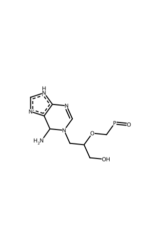 NC1c2nc[nH]c2N=CN1CC(CO)OCP=O